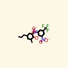 CCCc1cc(C)c(Oc2c([N+](=O)[O-])cc(C(F)(F)F)cc2[N+](=O)[O-])c(C)c1